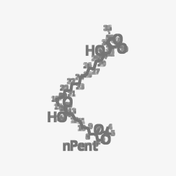 CCCCCC1OC(C)(C)OC1CCCCCC[C@H](O)[C@@H]1CC[C@@H](CCCCCCCCCC[C@@H](O)CC2=C[C@H](C)OC2=O)O1